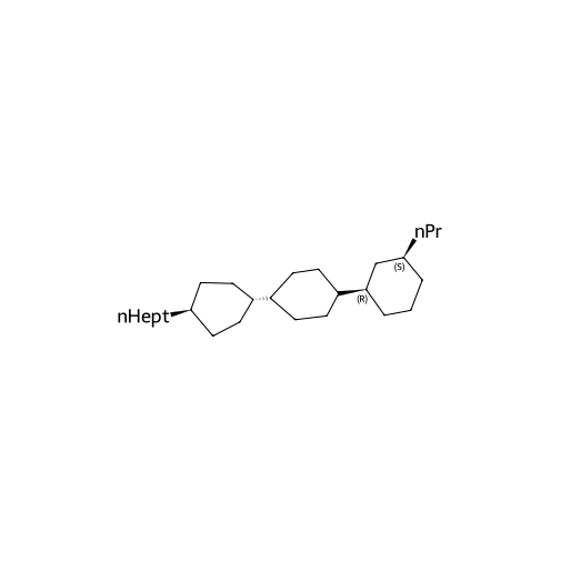 CCCCCCC[C@H]1CC[C@H](C2CCC([C@@H]3CCC[C@H](CCC)C3)CC2)CC1